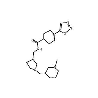 CN1CCC[C@H](CN2CCC(CNC(=O)C3CCN(c4cnno4)CC3)C2)C1